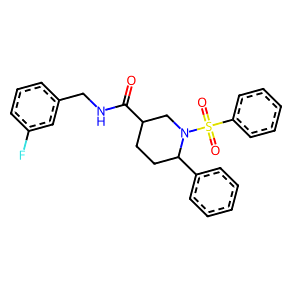 O=C(NCc1cccc(F)c1)C1CCC(c2ccccc2)N(S(=O)(=O)c2ccccc2)C1